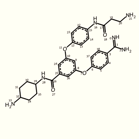 N=C(N)c1ccc(Oc2cc(Oc3ccc(NC(=O)CCN)cc3)cc(C(=O)NC3CCC(N)CC3)c2)cc1